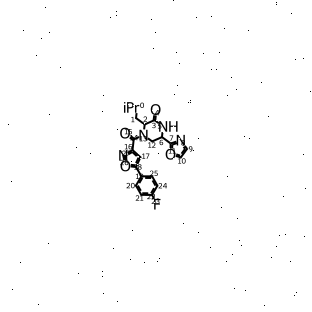 CC(C)CC1C(=O)NC(c2ncco2)CN1C(=O)c1cc(-c2ccc(F)cc2)on1